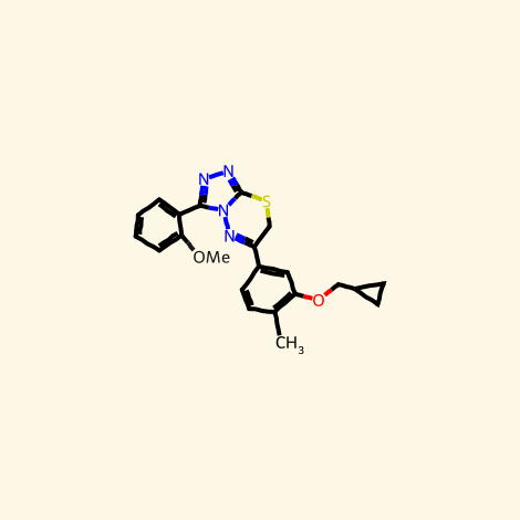 COc1ccccc1-c1nnc2n1N=C(c1ccc(C)c(OCC3CC3)c1)CS2